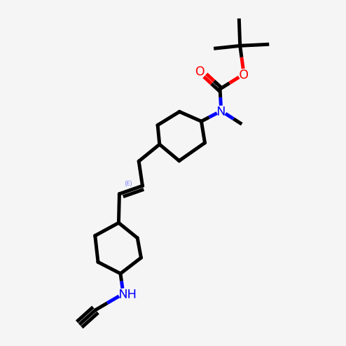 C#CNC1CCC(/C=C/CC2CCC(N(C)C(=O)OC(C)(C)C)CC2)CC1